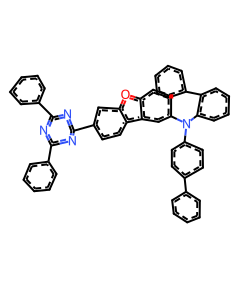 c1ccc(-c2ccc(N(c3ccc4oc5cc(-c6nc(-c7ccccc7)nc(-c7ccccc7)n6)ccc5c4c3)c3ccccc3-c3ccccc3)cc2)cc1